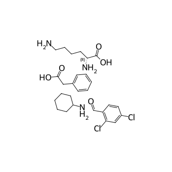 NC1CCCCC1.NCCCC[C@@H](N)C(=O)O.O=C(O)Cc1ccccc1.O=Cc1ccc(Cl)cc1Cl